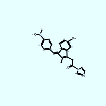 CC1=C(CC(=O)n2ccnc2)c2cc(F)ccc2/C1=C\c1ccc([S+](C)[O-])cc1